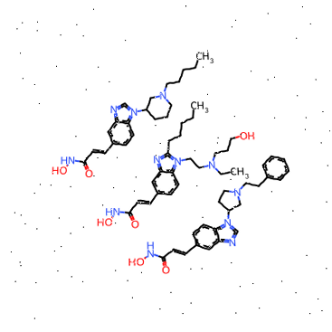 CCCCCN1CCCC(n2cnc3cc(C=CC(=O)NO)ccc32)C1.CCCCCc1nc2cc(C=CC(=O)NO)ccc2n1CCN(CC)CCCO.O=C(C=Cc1ccc2c(c1)ncn2C1CCN(CCc2ccccc2)C1)NO